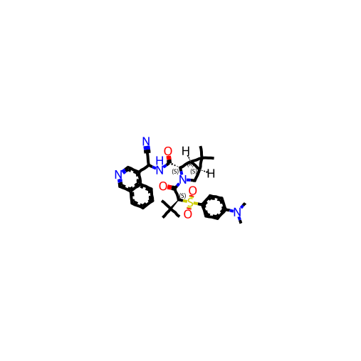 CN(C)c1ccc(S(=O)(=O)[C@H](C(=O)N2C[C@H]3[C@@H]([C@H]2C(=O)NC(C#N)c2cncc4ccccc24)C3(C)C)C(C)(C)C)cc1